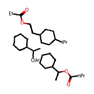 CC(=O)OC(C)C1CCCCC1.CCC(=O)OCCC1CCC(C(C)C)CC1.CCCC(=O)OC(C)C1CCCCC1